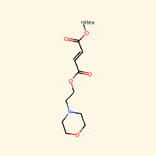 CCCCCCOC(=O)/C=C/C(=O)OCCN1CCOCC1